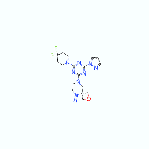 FC1(F)CCN(c2nc(N3CCNC4(COC4)C3)nc(-n3cccn3)n2)CC1